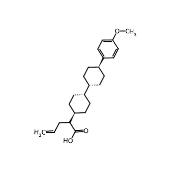 C=CCC(C(=O)O)[C@H]1CC[C@H]([C@H]2CC[C@H](c3ccc(OC)cc3)CC2)CC1